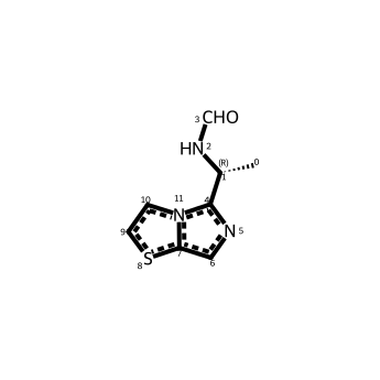 C[C@@H](NC=O)c1ncc2sccn12